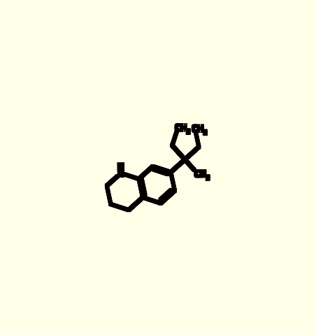 CCC(C)(CC)c1ccc2c(c1)NCCC2